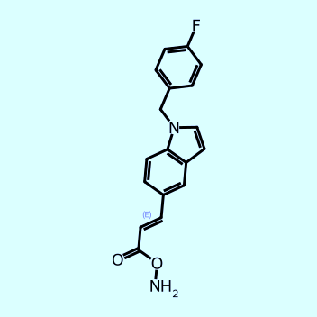 NOC(=O)/C=C/c1ccc2c(ccn2Cc2ccc(F)cc2)c1